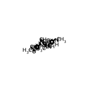 CNCc1ccc(C(=N)OC(NC)C2=C(C)N(C)CC(c3ccc([S+]([O-])C(C)C)cc3)=N2)c(C)c1